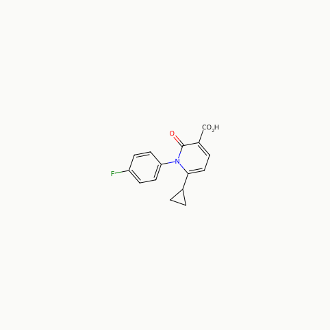 O=C(O)c1ccc(C2CC2)n(-c2ccc(F)cc2)c1=O